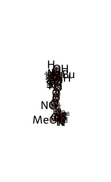 COC(=O)C[C@@H]1N=C(c2ccc(-c3ccc(OCCOCCOCCOCCOCC(=O)N[C@H](C(=O)N4C[C@H](O)C[C@H]4C(=O)N[C@@H](C)c4ccc(-c5scnc5C)cc4)C(C)(C)C)c(C#N)c3)cc2)c2c(sc(C)c2C)-n2c(C)nnc21